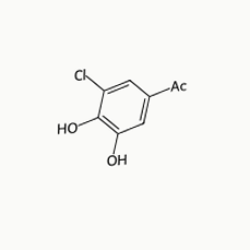 CC(=O)c1cc(O)c(O)c(Cl)c1